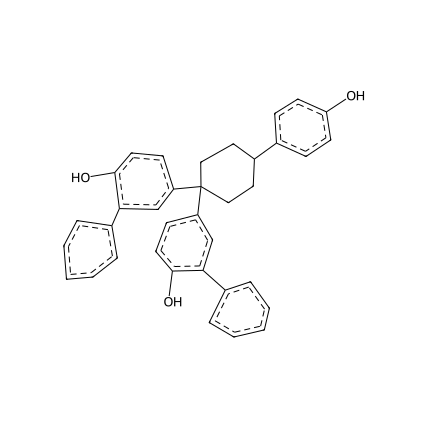 Oc1ccc(C2CCC(c3ccc(O)c(-c4ccccc4)c3)(c3ccc(O)c(-c4ccccc4)c3)CC2)cc1